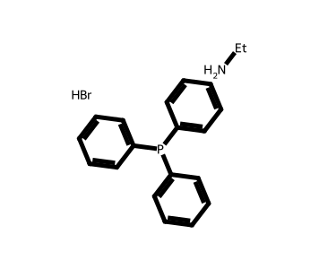 Br.CCN.c1ccc(P(c2ccccc2)c2ccccc2)cc1